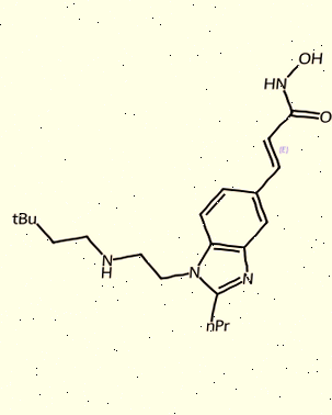 CCCc1nc2cc(/C=C/C(=O)NO)ccc2n1CCNCCC(C)(C)C